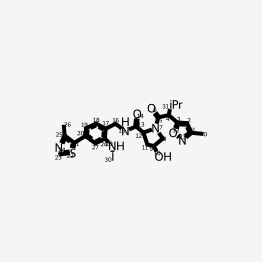 Cc1cc(C(C(=O)N2CC(O)CC2C(=O)NCc2ccc(-c3scnc3C)cc2NI)C(C)C)on1